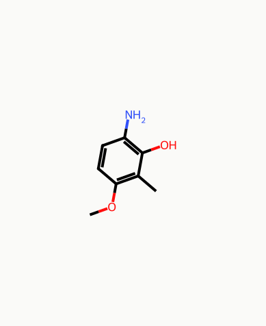 COc1ccc(N)c(O)c1C